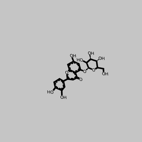 O=c1cc(-c2ccc(O)c(O)c2)oc2cc(O)cc(O[C@@H]3OC(CO)[C@@H](O)[C@H](O)C3O)c12